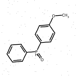 COc1ccc([PH](=O)c2ccccc2)cc1